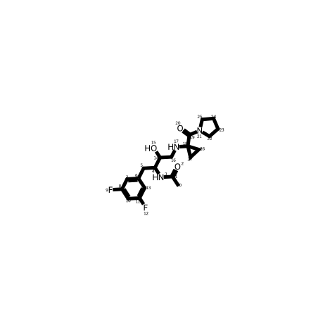 CC(=O)NC(Cc1cc(F)cc(F)c1)C(O)CNC1(C(=O)N2CCCC2)CC1